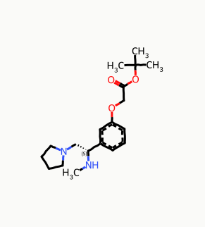 CN[C@H](CN1CCCC1)c1cccc(OCC(=O)OC(C)(C)C)c1